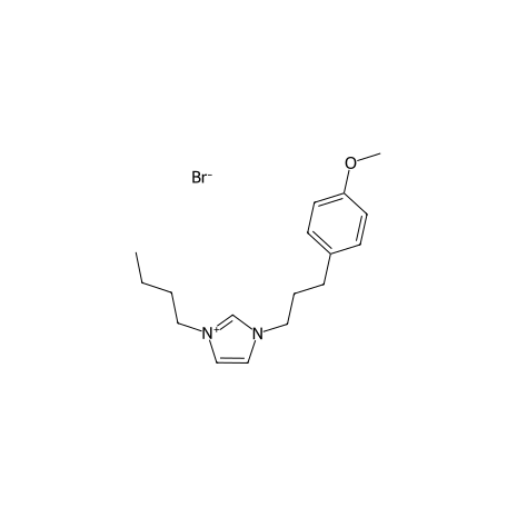 CCCC[n+]1ccn(CCCc2ccc(OC)cc2)c1.[Br-]